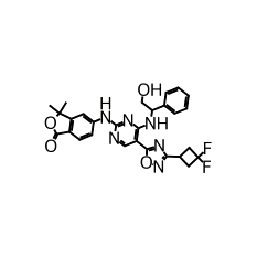 CC1(C)OC(=O)c2ccc(Nc3ncc(-c4nc(C5CC(F)(F)C5)no4)c(NC(CO)c4ccccc4)n3)cc21